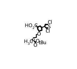 CN(CCCOc1cc(C(=O)O)cc(-c2cc(Cl)sc2Cl)c1)C(=O)OC(C)(C)C